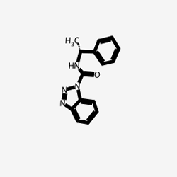 C[C@@H](NC(=O)n1nnc2ccccc21)c1ccccc1